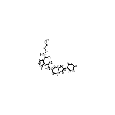 COCCCNC(=O)c1cnn(C)c1C(=O)Nc1ccn2cc(-c3ccccc3)nc2c1